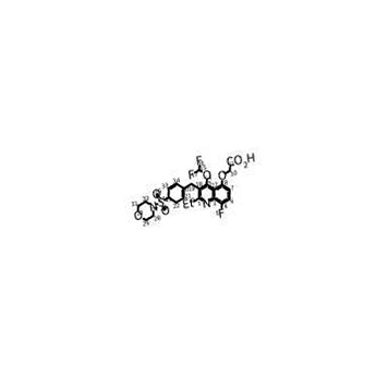 CCc1nc2c(F)ccc(OCC(=O)O)c2c(OC(F)F)c1CC1=CCC(S(=O)(=O)N2CCOCC2)C=C1